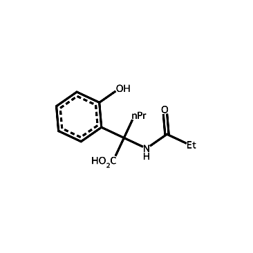 CCCC(NC(=O)CC)(C(=O)O)c1ccccc1O